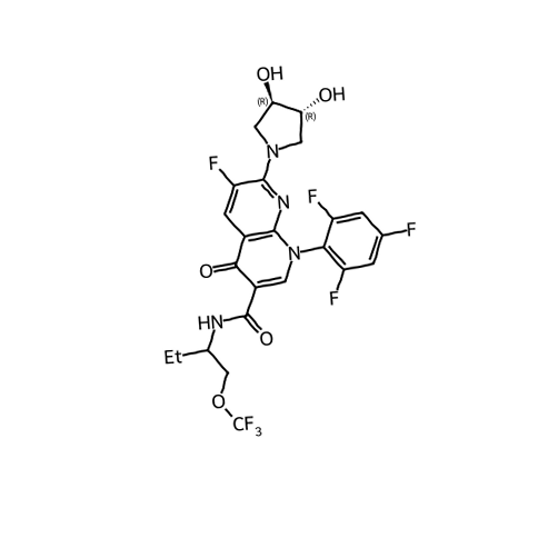 CCC(COC(F)(F)F)NC(=O)c1cn(-c2c(F)cc(F)cc2F)c2nc(N3C[C@@H](O)[C@H](O)C3)c(F)cc2c1=O